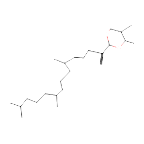 C=C(CCCC(C)CCCC(C)CCCC(C)C)C1OCC(C)C(C)O1